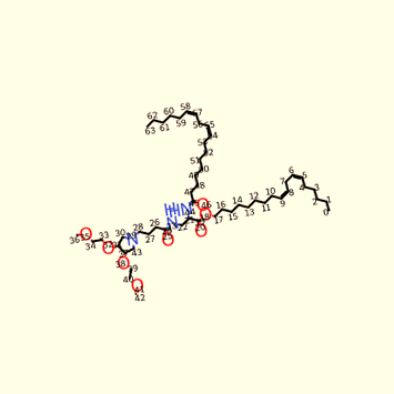 CCCCC/C=C\C/C=C\CCCCCCCCOC(=O)C(CNC(=O)CCCN1C[C@H](OCCOC)[C@H](OCCOC)C1)NC(=O)CCCCCCC/C=C\C/C=C\CCCCC